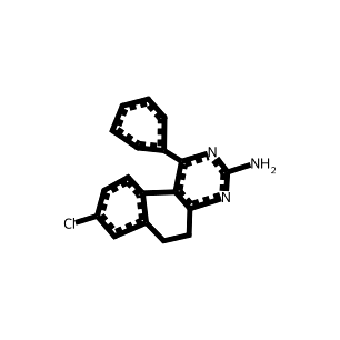 Nc1nc2c(c(-c3ccccc3)n1)-c1ccc(Cl)cc1CC2